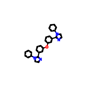 c1ccc(-n2ccnc2-c2cccc(Oc3cccc(-c4nccn4-c4ccccc4)c3)c2)cc1